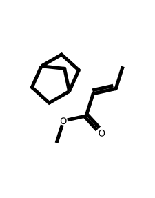 C1CC2CCC1C2.CC=CC(=O)OC